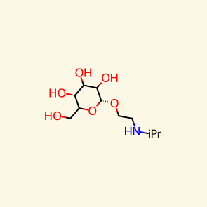 CC(C)NCCO[C@@H]1OC(CO)[C@@H](O)C(O)C1O